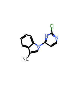 N#Cc1cn(-c2ccnc(Cl)n2)c2ccccc12